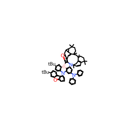 CC1(C)CCC2(C)CC3(C)CCC(C)(C)C4C5C3=Cc3c(oc6c3N(c3cc(N(c7ccccc7)c7ccccc7)cc7c3B6c3cc(C(C)(C)C)ccc3N7c3cccc6oc7cc(C(C)(C)C)ccc7c36)C3(C)C=CC1=C2C3)C54